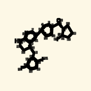 O=C(c1ccc(-c2cnc3c(c2)N(Cc2cc(F)ccc2F)CCN3)cc1)N1CCC[C@H]1I